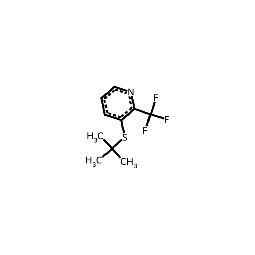 CC(C)(C)Sc1cccnc1C(F)(F)F